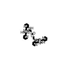 O=C(OCCNc1cccnc1C1=NNC(c2ccccn2)=NN1)OCCNc1cccnc1C1=NNC(c2ccccn2)=NN1